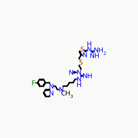 CN(CCCCCNC(=N)N(C#N)CCSCc1csc(NC(=N)N)n1)CCN(Cc1ccc(F)cc1)c1ccccn1